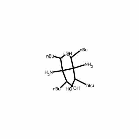 CCCCC(O)C(N)(C(O)CCCC)C(N)(C(O)CCCC)C(O)CCCC